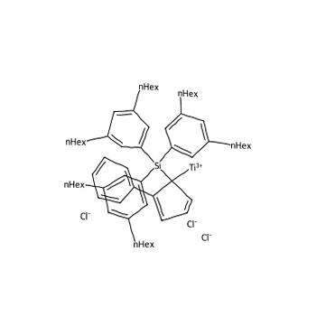 CCCCCCc1cc(CCCCCC)cc([Si](c2cc(CCCCCC)cc(CCCCCC)c2)(c2cc(CCCCCC)cc(CCCCCC)c2)[C]2([Ti+3])C=CC=C2c2ccccc2)c1.[Cl-].[Cl-].[Cl-]